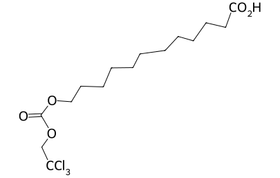 O=C(O)CCCCCCCCCCCOC(=O)OCC(Cl)(Cl)Cl